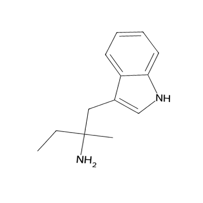 CCC(C)(N)Cc1c[nH]c2ccccc12